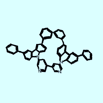 c1ccc(-c2ccc3c(c2)c2cc(-c4ccccc4)ccc2n3-c2cncc(-c3cncc(-n4c5ccc(-c6ccccc6)cc5c5cc(-c6ccccc6)ccc54)c3)c2)cc1